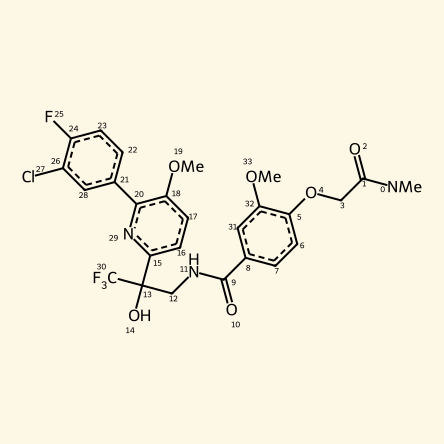 CNC(=O)COc1ccc(C(=O)NCC(O)(c2ccc(OC)c(-c3ccc(F)c(Cl)c3)n2)C(F)(F)F)cc1OC